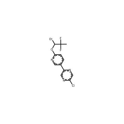 CCC(Oc1ccc(-c2cnc(Cl)cn2)cn1)C(C)(F)F